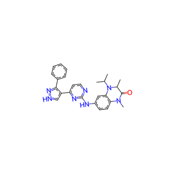 CC(C)N1c2cc(Nc3nccc(-c4c[nH]nc4-c4ccccc4)n3)ccc2N(C)C(=O)C1C